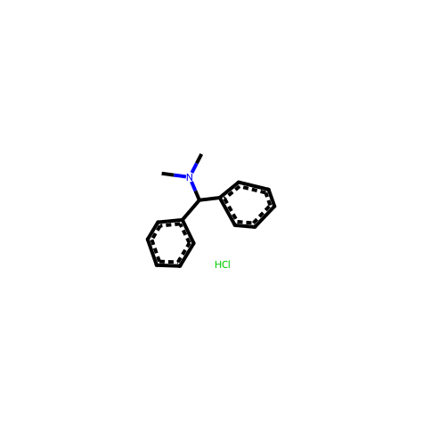 CN(C)C(c1ccccc1)c1ccccc1.Cl